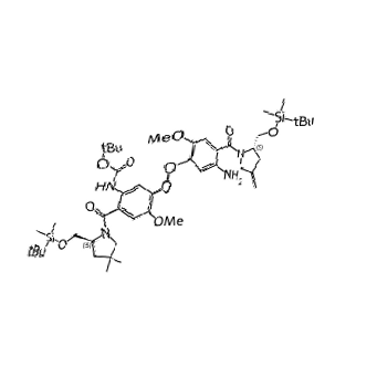 C=C1C[C@@H](CO[Si](C)(C)C(C)(C)C)N(C(=O)c2cc(OC)c(OOc3cc(NC(=O)OC(C)(C)C)c(C(=O)N4CC(C)(C)C[C@H]4CO[Si](C)(C)C(C)(C)C)cc3OC)cc2N)C1